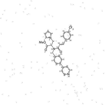 COC(=O)C(Cn1cccc1)N(Cc1ccc(-c2ccncc2)cc1)C(=O)/C=C/c1ccc(C(F)(F)F)cc1